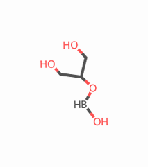 OBOC(CO)CO